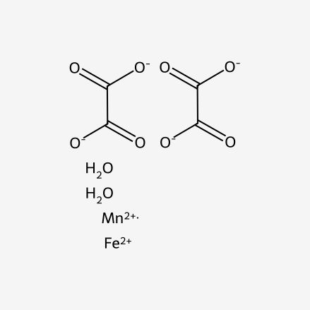 O.O.O=C([O-])C(=O)[O-].O=C([O-])C(=O)[O-].[Fe+2].[Mn+2]